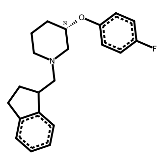 Fc1ccc(O[C@H]2CCCN(CC3CCc4ccccc43)C2)cc1